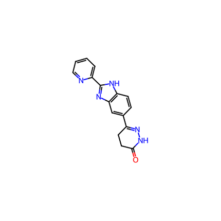 O=C1CCC(c2ccc3[nH]c(-c4ccccn4)nc3c2)=NN1